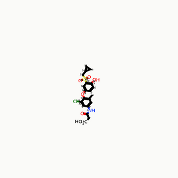 Cc1cc(NC(=O)CC(=O)O)cc(Cl)c1Oc1ccc(O)c(S(=O)(=O)CC2CC2)c1